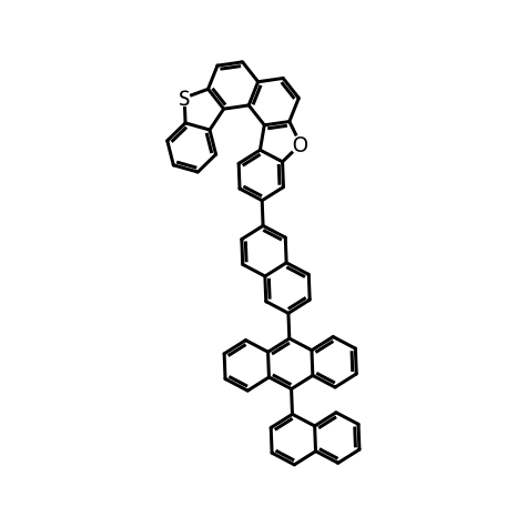 c1ccc2c(-c3c4ccccc4c(-c4ccc5cc(-c6ccc7c(c6)oc6ccc8ccc9sc%10ccccc%10c9c8c67)ccc5c4)c4ccccc34)cccc2c1